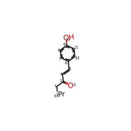 CC(C)CC(=O)/C=C/c1ccc(O)cc1